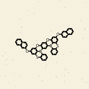 c1ccc2c(c1)Sc1cc(Oc3ccc4ccccc4c3)cc3c1B2c1cc2c(cc1O3)Oc1cc(Oc3ccc4ccccc4c3)cc3c1B2c1ccccc1S3